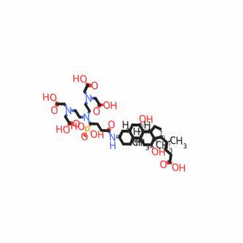 C[C@H](CCC(=O)O)[C@H]1CC[C@H]2[C@@H]3[C@H](O)C[C@@H]4C[C@@H](NC(=O)CCC(N(CCN(CC(=O)O)CC(=O)O)CCN(CC(=O)O)CC(=O)O)P(=O)(O)O)CC[C@]4(C)[C@H]3C[C@H](O)[C@]12C